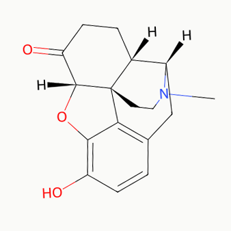 CN1CC[C@@]23c4c5ccc(O)c4O[C@@H]2C(=O)CC[C@@H]3[C@@H]1C5